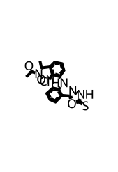 CC(=O)N(O)C(C)c1cccc(Nc2ccccc2-c2n[nH]c(=S)o2)c1Cl